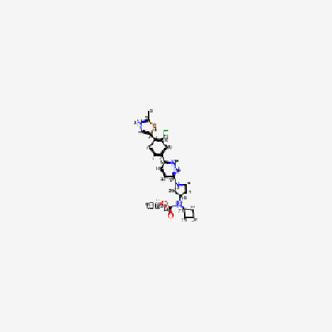 Cc1ncc(-c2ccc(-c3ccc(N4CCC(N(C(=O)OC(C)(C)C)C5CCC5)C4)nn3)cc2F)s1